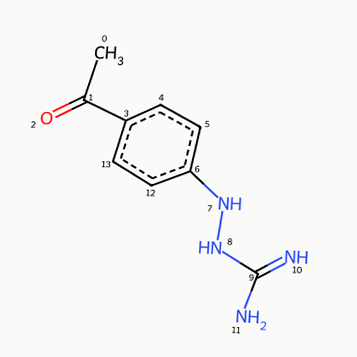 CC(=O)c1ccc(NNC(=N)N)cc1